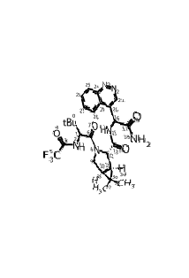 CC(C)(C)C(NC(=O)C(F)(F)F)C(=O)N1C[C@H]2[C@@H]([C@H]1C(=O)NC(C(N)=O)c1cnnc3ccccc13)C2(C)C